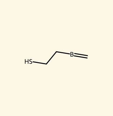 C=BCCS